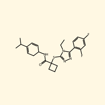 CCn1c(SC2(C(=O)NC3C=CC(C(C)C)=CC3)CCC2)nnc1-c1ccc(F)cc1F